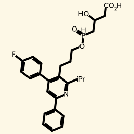 CC(C)c1nc(-c2ccccc2)cc(-c2ccc(F)cc2)c1CCCO[PH](=O)CC(O)CC(=O)O